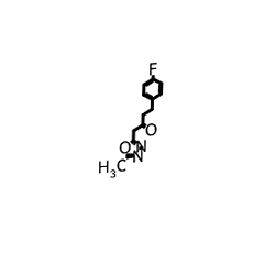 Cc1nnc(CC(=O)CCc2ccc(F)cc2)o1